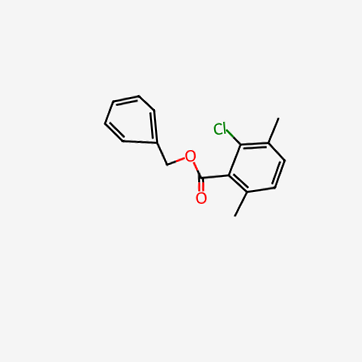 Cc1ccc(C)c(C(=O)OCc2ccccc2)c1Cl